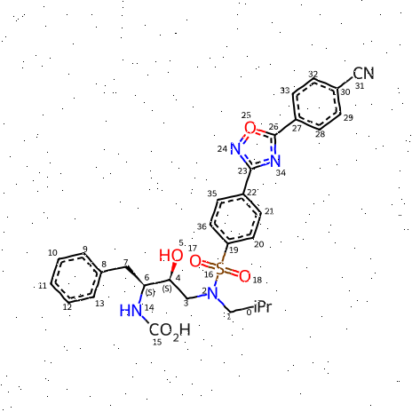 CC(C)CN(C[C@H](O)[C@H](Cc1ccccc1)NC(=O)O)S(=O)(=O)c1ccc(-c2noc(-c3ccc(C#N)cc3)n2)cc1